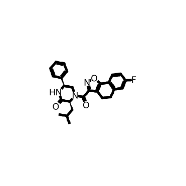 CC(C)C[C@H]1C(=O)N[C@@H](c2ccccc2)CN1C(=O)c1noc2c1CCc1cc(F)ccc1-2